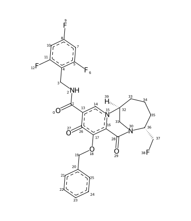 O=C(NCc1c(F)cc(F)cc1F)c1cn2c(c(OCc3ccccc3)c1=O)C(=O)N1C[C@@H]2CCC[C@@H]1CF